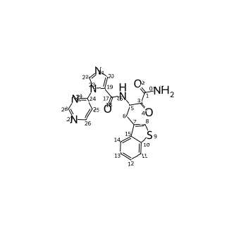 NC(=O)C(=O)C(Cc1csc2ccccc12)NC(=O)c1cncn1-c1ccncn1